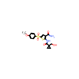 NC(=O)c1cc(S(=O)(=O)c2ccc(OC(F)(F)F)cc2)sc1NC(=O)C1(CO)CC1